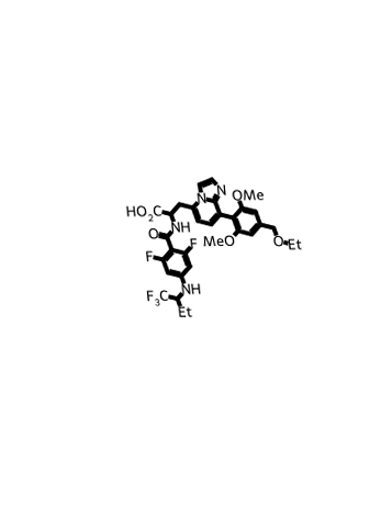 CCOCc1cc(OC)c(-c2ccc(CC(NC(=O)c3c(F)cc(NC(CC)C(F)(F)F)cc3F)C(=O)O)n3ccnc23)c(OC)c1